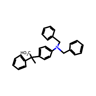 CC(C(=O)O)(c1ccccc1)c1ccc(N(Cc2ccccc2)Cc2ccccc2)cc1